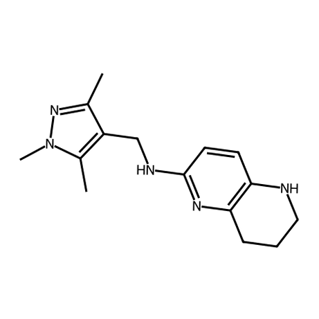 Cc1nn(C)c(C)c1CNc1ccc2c(n1)CCCN2